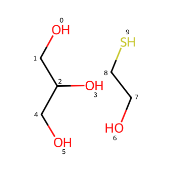 OCC(O)CO.OCCS